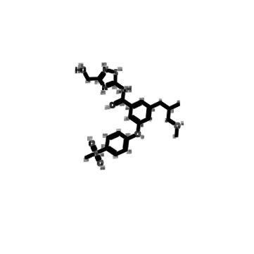 COCC(C)Cc1cc(Oc2ccc(S(C)(=O)=O)cc2)cc(C(=O)Nc2nc(CO)ns2)c1